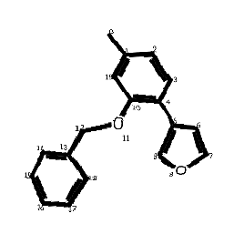 Cc1ccc(-c2ccoc2)c(OCc2ccccc2)c1